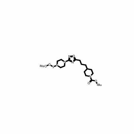 COOSN1CCN(c2noc(CCCC3CCN(C(=O)OC(C)(C)C)CC3)n2)CC1